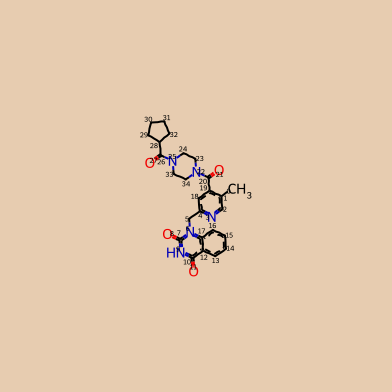 Cc1cnc(Cn2c(=O)[nH]c(=O)c3ccccc32)cc1C(=O)N1CCN(C(=O)C2CCCC2)CC1